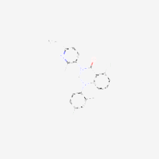 COc1ccc(N2CN(c3ccc(F)cc3C)c3cccc(Cl)c3C2=O)c(C)n1